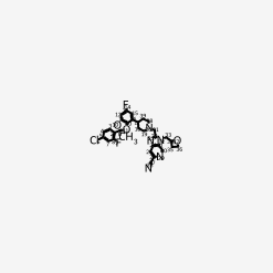 CC1(c2ccc(Cl)cc2F)Oc2cc(F)cc(C3CCN(Cc4nc5cc(C#N)ncc5n4CC4CCO4)CC3)c2O1